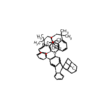 CC1(C)CCC(C)(C)c2c(N(c3cc4c(cc3-c3ccccc3)-c3ccccc3C43C4CC5CC6CC3C64C5)c3cccc4c3C(C)(C)CCC4(C)C)cccc21